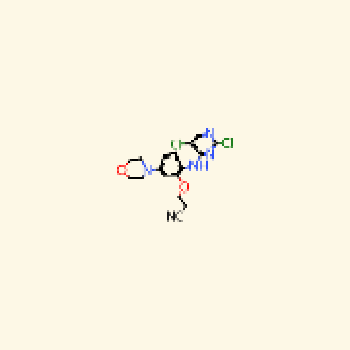 N#CCCOc1cc(N2CCOCC2)ccc1Nc1nc(Cl)ncc1Cl